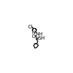 O=C(Nc1ccc(Cl)cn1)N(S)CCC1=CCCCC1